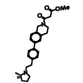 COC(=O)CC(=O)N1CCc2cc(-c3ccc(CCN4CCC[C@H]4C)cc3)ccc2C1